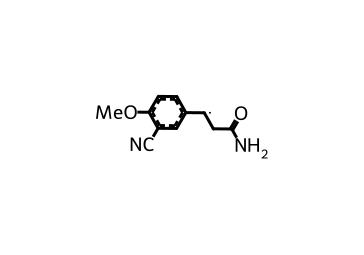 COc1ccc([CH]CC(N)=O)cc1C#N